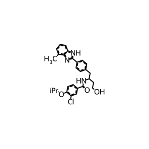 Cc1cccc2[nH]c(-c3ccc(CC(CCO)NC(=O)c4ccc(OC(C)C)c(Cl)c4)cc3)nc12